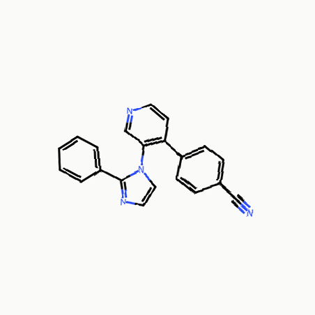 N#Cc1ccc(-c2ccncc2-n2ccnc2-c2ccccc2)cc1